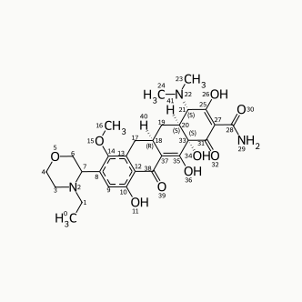 CCN1CCOCC1c1cc(O)c2c(c1OC)C[C@H]1C[C@H]3[C@H](N(C)C)C(O)=C(C(N)=O)C(=O)[C@@]3(O)C(O)=C1C2=O